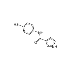 O=C(Nc1ccc(S)cc1)c1cc[nH]c1